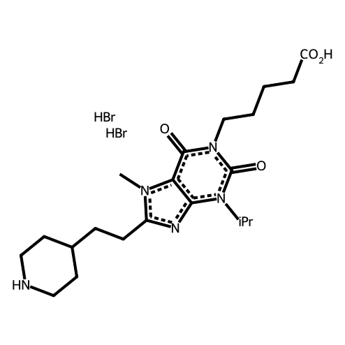 Br.Br.CC(C)n1c(=O)n(CCCCC(=O)O)c(=O)c2c1nc(CCC1CCNCC1)n2C